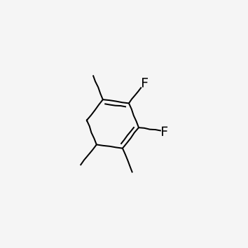 CC1=C(F)C(F)=C(C)C(C)C1